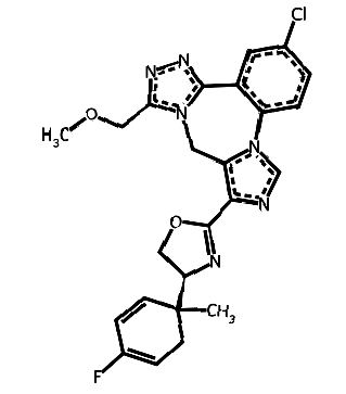 COCc1nnc2n1Cc1c(C3=N[C@@H](C4(C)C=CC(F)=CC4)CO3)ncn1-c1ccc(Cl)cc1-2